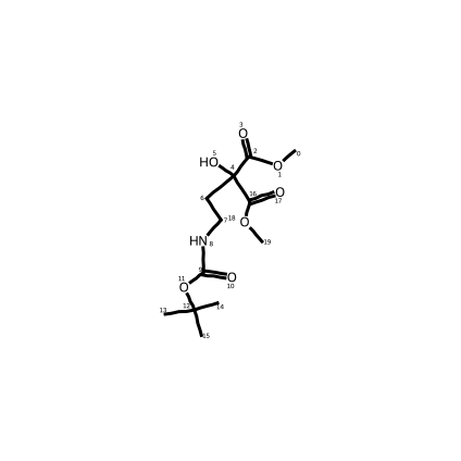 COC(=O)C(O)(CCNC(=O)OC(C)(C)C)C(=O)OC